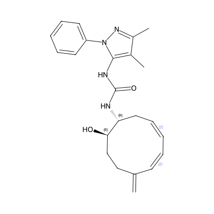 C=C1/C=C\C=C/C[C@@H](NC(=O)Nc2c(C)c(C)nn2-c2ccccc2)[C@H](O)CC1